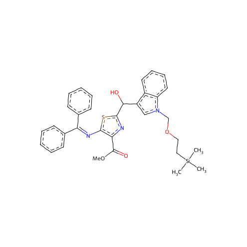 COC(=O)c1nc(C(O)c2cn(COCC[Si](C)(C)C)c3ccccc23)sc1N=C(c1ccccc1)c1ccccc1